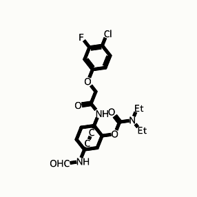 CCN(CC)C(=O)OC1CC2(NC=O)CCC1(NC(=O)COc1ccc(Cl)c(F)c1)CC2